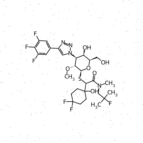 CO[C@@H]1[C@@H](n2cc(-c3cc(F)c(F)c(F)c3)nn2)[C@@H](O)[C@@H](CO)O[C@H]1SC(C(=O)N(C)CC(C)(C)F)C1(O)CCC(F)(F)CC1